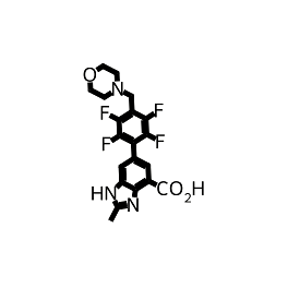 Cc1nc2c(C(=O)O)cc(-c3c(F)c(F)c(CN4CCOCC4)c(F)c3F)cc2[nH]1